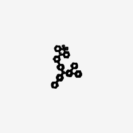 O=S1(=O)c2ccccc2N(c2cccc(-c3ccc(N(c4ccc(-c5ccccc5)cc4)c4ccc(-c5ccccc5)c(-c5ccccc5)c4)cc3)c2)c2ccccc21